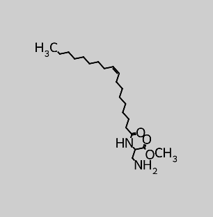 CCCCCCCC/C=C\CCCCCCCC(=O)NC(CN)C(=O)OC